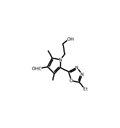 CCc1nnc(-c2c(C)c(C=O)c(C)n2CCO)o1